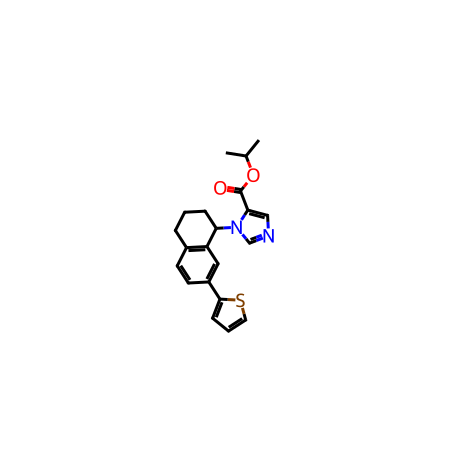 CC(C)OC(=O)c1cncn1C1CCCc2ccc(-c3cccs3)cc21